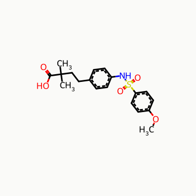 COc1ccc(S(=O)(=O)Nc2ccc(CCC(C)(C)C(=O)O)cc2)cc1